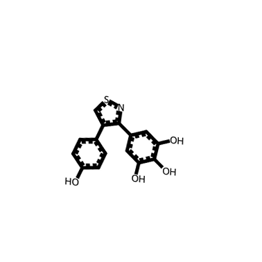 Oc1ccc(-c2csnc2-c2cc(O)c(O)c(O)c2)cc1